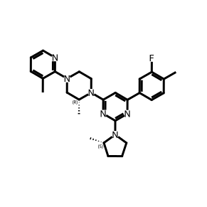 Cc1ccc(-c2cc(N3CCN(c4ncccc4C)C[C@H]3C)nc(N3CCC[C@@H]3C)n2)cc1F